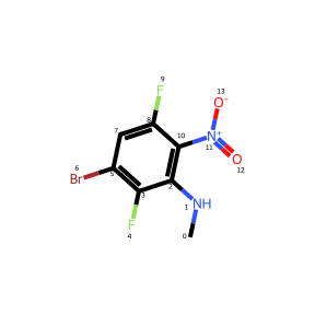 CNc1c(F)c(Br)cc(F)c1[N+](=O)[O-]